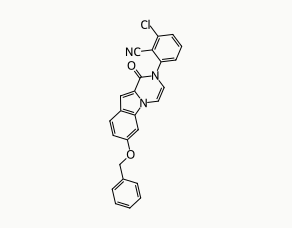 N#Cc1c(Cl)cccc1-n1ccn2c(cc3ccc(OCc4ccccc4)cc32)c1=O